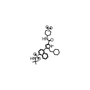 Cn1c(C(=O)NC2CCS(=O)(=O)CC2)cc(-c2ccc(S(=O)(=O)NC(C)(C)C)c3ccccc23)c1CC1CCCCC1